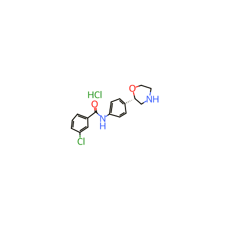 Cl.O=C(Nc1ccc([C@H]2CNCCO2)cc1)c1cccc(Cl)c1